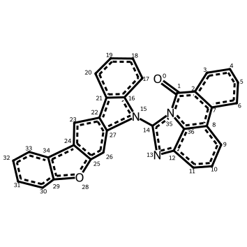 O=c1c2ccccc2c2cccc3nc(-n4c5ccccc5c5cc6c(cc54)oc4ccccc46)n1c32